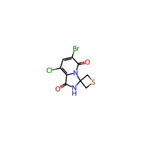 O=C1NC2(CSC2)n2c1c(Cl)cc(Br)c2=O